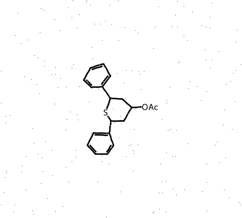 CC(=O)OC1CC(c2ccccc2)SC(c2ccccc2)C1